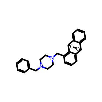 c1ccc(CN2CCN(Cc3cccc4c3C3CCC4c4ccccc43)CC2)cc1